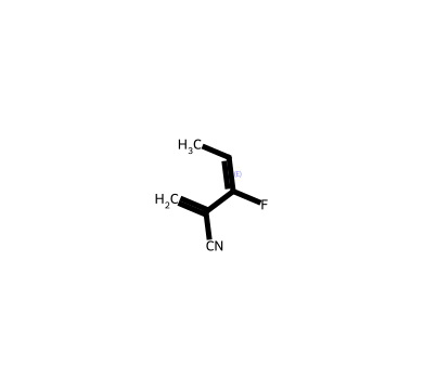 C=C(C#N)/C(F)=C\C